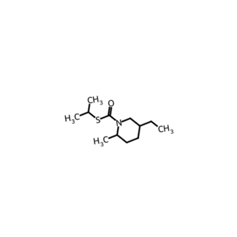 CCC1CCC(C)N(C(=O)SC(C)C)C1